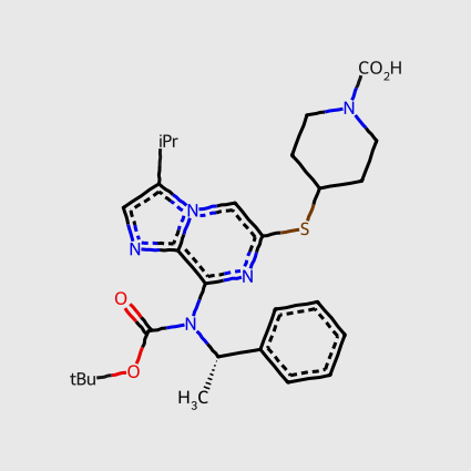 CC(C)c1cnc2c(N(C(=O)OC(C)(C)C)[C@@H](C)c3ccccc3)nc(SC3CCN(C(=O)O)CC3)cn12